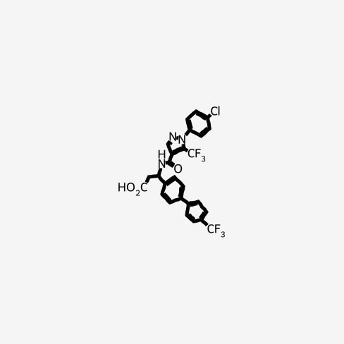 O=C(O)CC(NC(=O)c1cnn(-c2ccc(Cl)cc2)c1C(F)(F)F)c1ccc(-c2ccc(C(F)(F)F)cc2)cc1